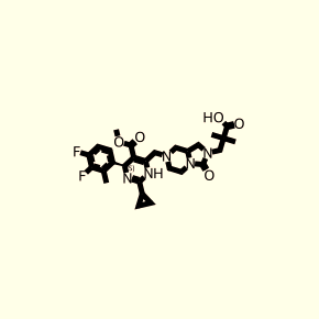 COC(=O)C1=C(CN2CCN3C(=O)N(CC(C)(C)C(=O)O)CC3C2)NC(C2CC2)=N[C@H]1c1ccc(F)c(F)c1C